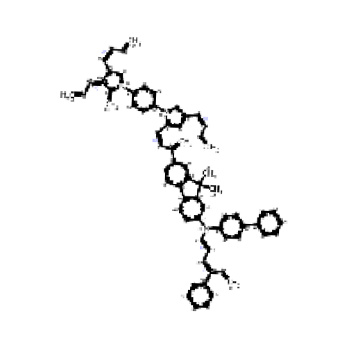 C=C/C=C\c1cc(/C=C\C(=C)c2ccc3c(c2)C(C)(C)c2cc(N(/C=C/C=C(\C=C)c4ccccc4)c4ccc(-c5ccccc5)cc4)ccc2-3)n(-c2ccc(-n3cc(/C=C\C=C)/c(=C/C=C)c3=C)cc2)c1